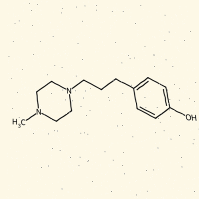 CN1CCN(CCCc2ccc(O)cc2)CC1